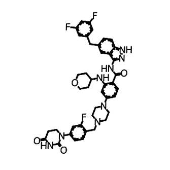 O=C1CCN(c2ccc(CN3CCN(c4ccc(C(=O)Nc5n[nH]c6ccc(Cc7cc(F)cc(F)c7)cc56)c(NC5CCOCC5)c4)CC3)c(F)c2)C(=O)N1